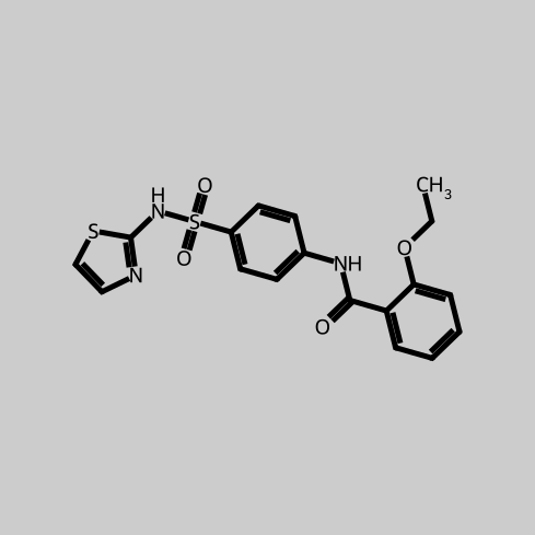 CCOc1ccccc1C(=O)Nc1ccc(S(=O)(=O)Nc2nccs2)cc1